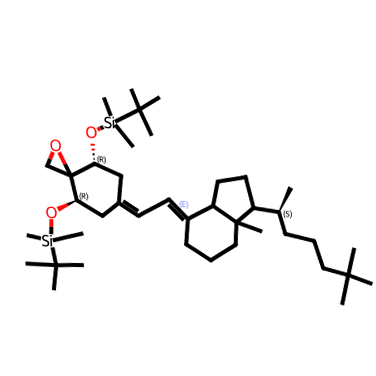 C[C@@H](CCCC(C)(C)C)C1CCC2/C(=C/C=C3C[C@@H](O[Si](C)(C)C(C)(C)C)C4(CO4)[C@H](O[Si](C)(C)C(C)(C)C)C3)CCCC21C